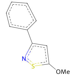 COc1cc(-c2ccccc2)ns1